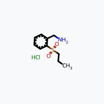 CCCS(=O)(=O)c1ccccc1CN.Cl